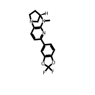 CN1c2nc(-c3ccc4c(c3)OC(F)(F)O4)ccc2N2CC[C@H]1C2